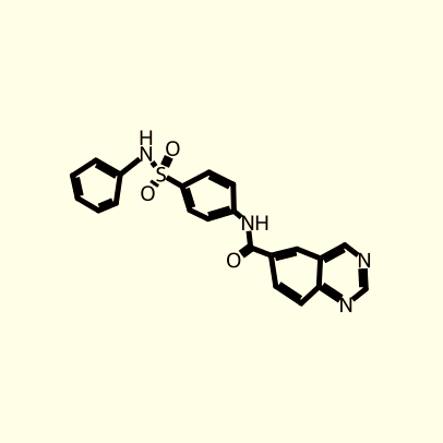 O=C(Nc1ccc(S(=O)(=O)Nc2ccccc2)cc1)c1ccc2ncncc2c1